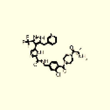 C[C@H](N)C(=O)N1CCN(C(=O)c2ccc(CNC(=O)c3ncc(-c4c(C(F)(F)F)n[nH]c4Cc4cccnc4)[nH]3)cc2Cl)CC1